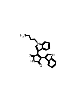 NCCCn1cc(C2=C(c3c[nH]c4ccccc34)C(=O)NC2=O)c2ccccc21